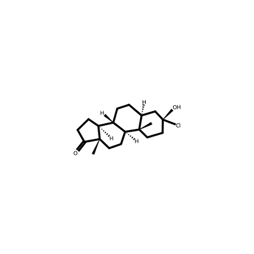 C[C@]12CC[C@@](O)(Cl)C[C@@H]1CC[C@@H]1[C@@H]2CC[C@]2(C)C(=O)CC[C@@H]12